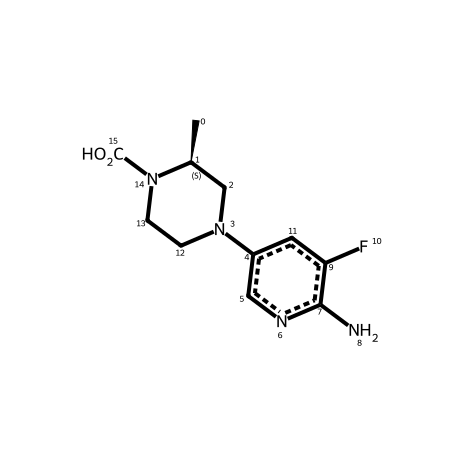 C[C@H]1CN(c2cnc(N)c(F)c2)CCN1C(=O)O